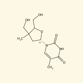 Cc1cn([C@@H]2CC(C)(CO)C(CO)O2)c(=O)[nH]c1=O